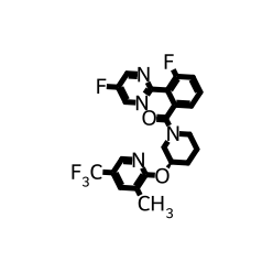 Cc1cc(C(F)(F)F)cnc1O[C@@H]1CCCN(C(=O)c2cccc(F)c2-c2ncc(F)cn2)C1